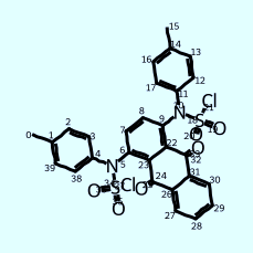 Cc1ccc(N(c2ccc(N(c3ccc(C)cc3)S(=O)(=O)Cl)c3c2C(=O)c2ccccc2C3=O)S(=O)(=O)Cl)cc1